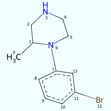 CC1CNCCN1c1cccc(Br)c1